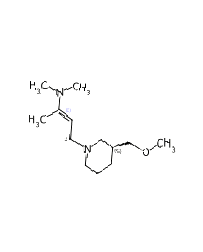 COC[C@H]1CCCN([C]/C=C(\C)N(C)C)C1